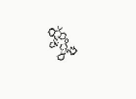 CC1(C)c2ccccc2N(c2ccccn2)c2cc(OC3=CC4C(C=C3)c3ccccc3N4c3ccccn3)ccc21